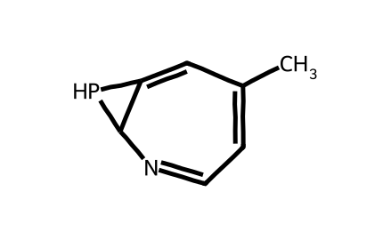 CC1=CC=NC2PC2=C1